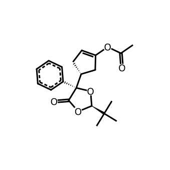 CC(=O)OC1=CC[C@@H]([C@@]2(c3ccccc3)O[C@@H](C(C)(C)C)OC2=O)C1